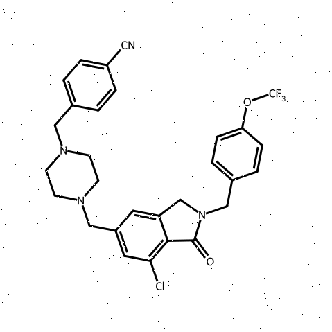 N#Cc1ccc(CN2CCN(Cc3cc(Cl)c4c(c3)CN(Cc3ccc(OC(F)(F)F)cc3)C4=O)CC2)cc1